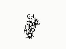 CCOC(=O)c1c(NC(=O)Nc2ccccc2)sc2c1CCC2